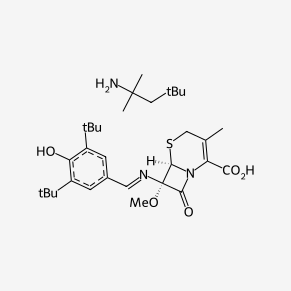 CC(C)(C)CC(C)(C)N.CO[C@@]1(/N=C/c2cc(C(C)(C)C)c(O)c(C(C)(C)C)c2)C(=O)N2C(C(=O)O)=C(C)CS[C@@H]21